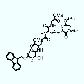 COC(=O)CNC(=O)[C@@H](CSC[C@H](NC(=O)OC(C)(C)C)C(=O)OC)NC(=O)CC[C@@H](NC(=O)[C@H](C)NC(=O)OCC1c2ccccc2-c2ccccc21)C(=O)OC